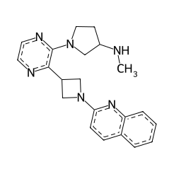 CNC1CCN(c2nccnc2C2CN(c3ccc4ccccc4n3)C2)C1